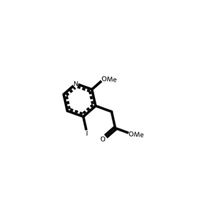 COC(=O)Cc1c(I)ccnc1OC